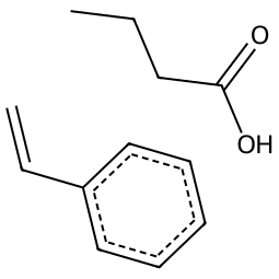 C=Cc1ccccc1.CCCC(=O)O